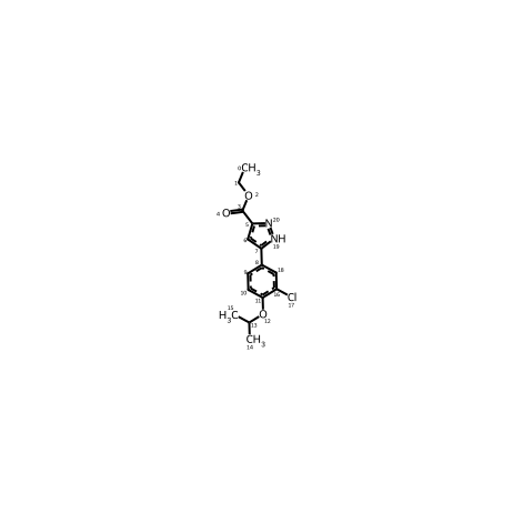 CCOC(=O)c1cc(-c2ccc(OC(C)C)c(Cl)c2)[nH]n1